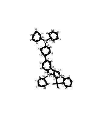 CC1(C)c2ccccc2-n2cc3c4cc(-c5ccc(N(c6ccccc6)c6ccccc6)cc5)ccc4n(-c4ccccc4)c3c21